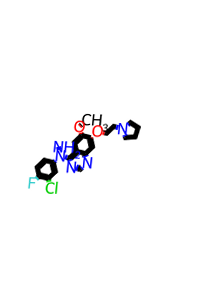 COc1cc2c(N(N)c3ccc(F)c(Cl)c3)ncnc2cc1OCCN1CCCC1